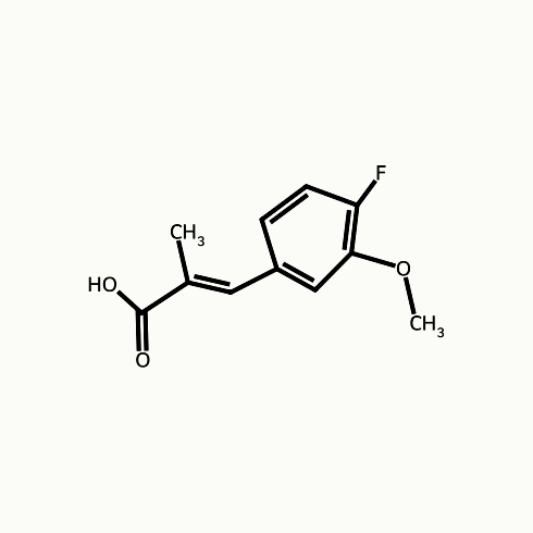 COc1cc(/C=C(\C)C(=O)O)ccc1F